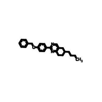 CCCCC1CCc2nc(-c3ccc(OCc4ccccc4)cc3)ncc2C1